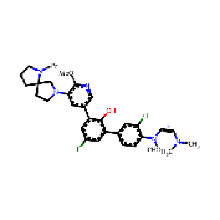 COc1ncc(-c2cc(F)cc(-c3ccc(N(C=O)/C=C\N(C)C)c(Cl)c3)c2O)cc1N1CCC2(CCCN2C(C)C)C1